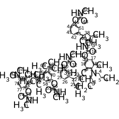 C=CCN(CC=C)c1c(C)cc(OC(=O)NC)cc1C.CCC(CC)c1cccc(OC(=O)NC)c1.CCCC(C)c1cccc(OC(=O)NC)c1.CNC(=O)Oc1cc(C(C)(C)C)cc(C(C)(C)C)c1.CNC(=O)Oc1ccc(N(C)C)c(C)c1